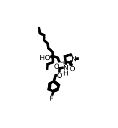 CCCCCCCC(O)(CCC)CC[C@]1(NC(=O)OCc2ccc(F)cc2)CCN(C)C1=O